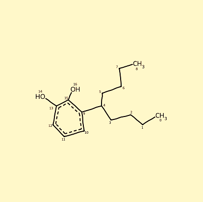 CCCCC(CCCC)c1cccc(O)c1O